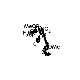 COC(=O)[C@@H]1CC(OS(=O)(=O)C(F)(F)F)=CN1C(=O)c1cc(OCc2ccc(Cl)cc2)c(OCCCCCOc2cc(C)c(C(=O)N3C=C(C)C[C@H]3C)cc2OC)cc1[N+](=O)[O-]